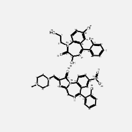 CN1CCN(/C=C2\N=C3CN=C(c4ccccc4Cl)c4cc([N+](=O)[O-])ccc4N3C2=O)CC1.O=C1C(O)N=C(c2ccccc2F)c2cc(Cl)ccc2N1CCO